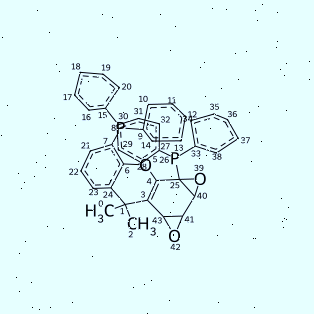 CC1(C)C2=C(Oc3c(P(c4ccccc4)c4ccccc4)cccc31)C1(P(c3ccccc3)c3ccccc3)OC1C1OC21